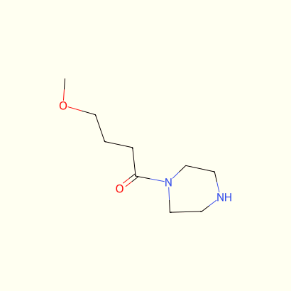 COCCCC(=O)N1CCNCC1